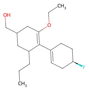 CCCC1CC(CO)CC(OCC)=C1C1=CC[C@H](F)CC1